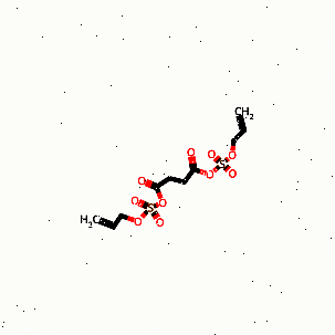 C=CCOS(=O)(=O)OC(=O)CCC(=O)OS(=O)(=O)OCC=C